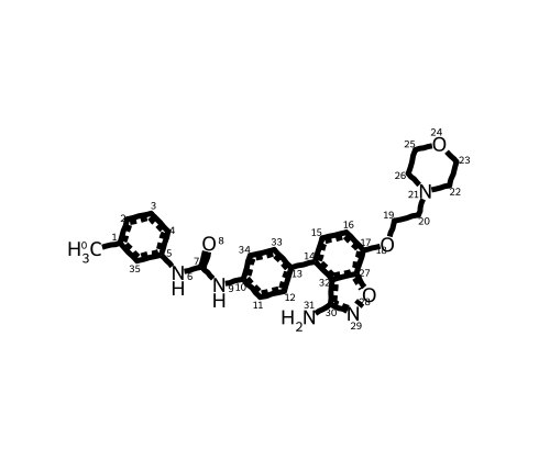 Cc1cccc(NC(=O)Nc2ccc(-c3ccc(OCCN4CCOCC4)c4onc(N)c34)cc2)c1